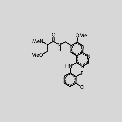 CN[C@H](COC)C(=O)NCc1cc2c(Nc3cccc(Cl)c3F)ncnc2cc1OC